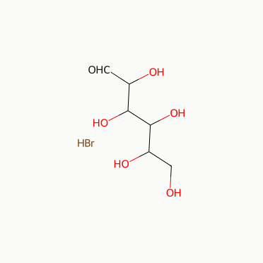 Br.O=CC(O)C(O)C(O)C(O)CO